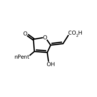 CCCCCC1=C(O)C(=CC(=O)O)OC1=O